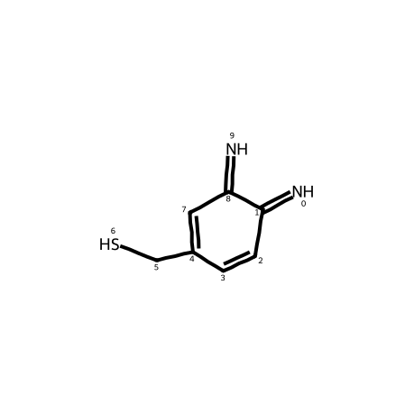 N=C1C=CC(CS)=CC1=N